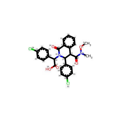 CON(C)C(=O)C1c2ccccc2C(=O)N(C(C(=O)O)c2ccc(Cl)cc2)C1c1ccc(Cl)cc1